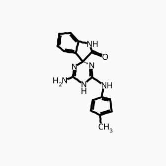 Cc1ccc(NC2=N[C@@]3(N=C(N)N2)C(=O)Nc2ccccc23)cc1